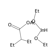 CCC(CC)C(=O)OC(C)=O.CC[O][InH][O]CC